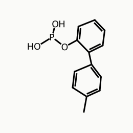 Cc1ccc(-c2ccccc2OP(O)O)cc1